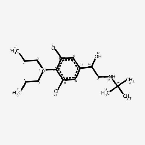 CCCN(CCC)c1c(Cl)cc(C(O)CNC(C)(C)C)cc1Cl